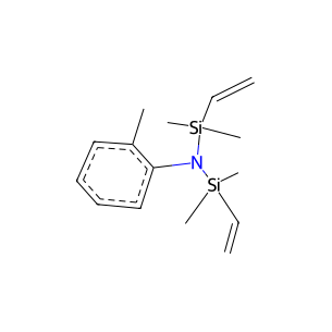 C=C[Si](C)(C)N(c1ccccc1C)[Si](C)(C)C=C